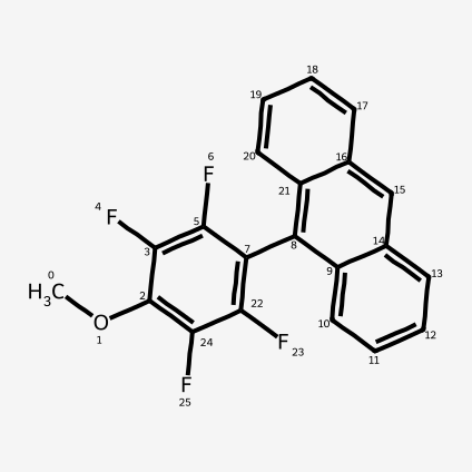 COc1c(F)c(F)c(-c2c3ccccc3cc3ccccc23)c(F)c1F